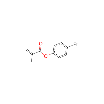 C=C(C)C(=O)Oc1ccc(CC)cc1